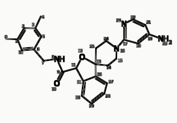 Cc1cc(C)cc(CNC(=O)C2OC3(CCN(c4cc(N)ccn4)CC3)c3ccccc32)c1